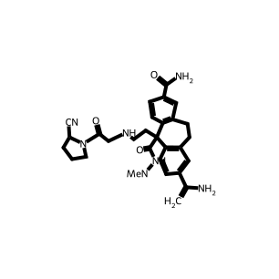 C=C(N)c1ccc2c(c1)CCc1cc(C(N)=O)ccc1C2(CCNCC(=O)N1CCCC1C#N)C(=O)NNC